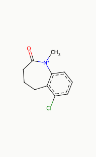 C[N+]1C(=O)CCCc2c(Cl)cccc21